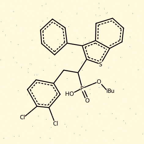 CCC(C)OP(=O)(O)C(Cc1ccc(Cl)c(Cl)c1)c1sc2ccccc2c1-c1ccccc1